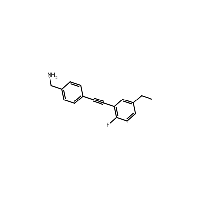 CCc1c[c]c(F)c(C#Cc2ccc(CN)cc2)c1